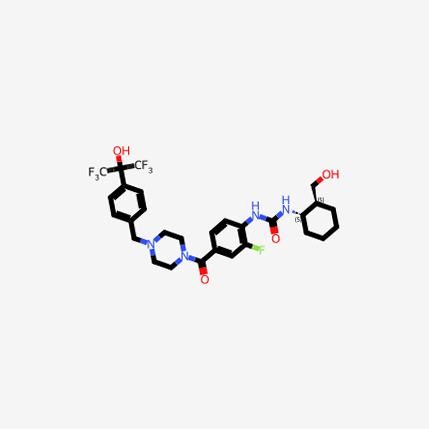 O=C(Nc1ccc(C(=O)N2CCN(Cc3ccc(C(O)(C(F)(F)F)C(F)(F)F)cc3)CC2)cc1F)N[C@H]1CCCC[C@@H]1CO